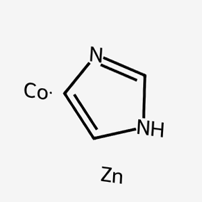 [Co].[Zn].c1c[nH]cn1